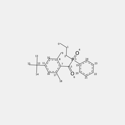 CCCP(=O)(C(=O)c1c(C)cc(C(C)(C)C)cc1C)c1ccccc1